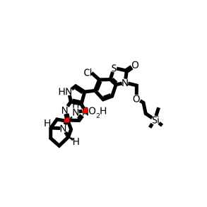 C[Si](C)(C)CCOCn1c(=O)sc2c(Cl)c(-c3c[nH]c4nc(N5[C@@H]6CC[C@H]5C[C@@H](NC(=O)O)C6)cnc34)ccc21